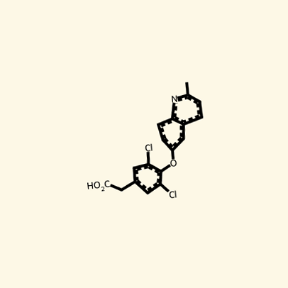 Cc1ccc2cc(Oc3c(Cl)cc(CC(=O)O)cc3Cl)ccc2n1